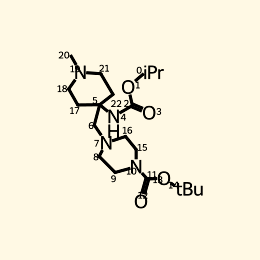 CC(C)OC(=O)NC1(CN2CCN(C(=O)OC(C)(C)C)CC2)CCN(C)CC1